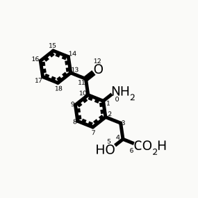 Nc1c(CC(O)C(=O)O)cccc1C(=O)c1ccccc1